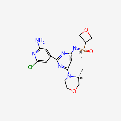 C[C@@H]1COCCN1c1cc(N=[S@](C)(=O)C2COC2)nc(-c2cc(N)nc(Cl)c2)n1